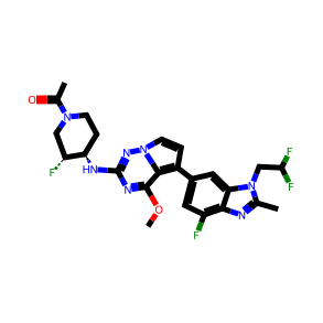 COc1nc(N[C@H]2CCN(C(C)=O)C[C@H]2F)nn2ccc(-c3cc(F)c4nc(C)n(CC(F)F)c4c3)c12